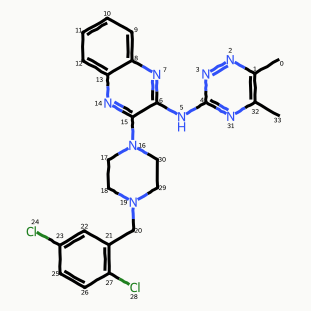 Cc1nnc(Nc2nc3ccccc3nc2N2CCN(Cc3cc(Cl)ccc3Cl)CC2)nc1C